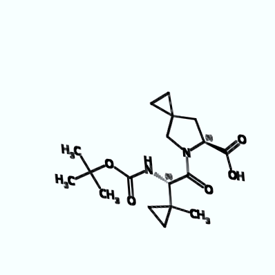 CC(C)(C)OC(=O)N[C@H](C(=O)N1CC2(CC2)C[C@H]1C(=O)O)C1(C)CC1